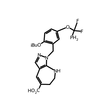 CC(C)COc1ccc(OC(F)(F)P)cc1Cn1ncc2c1NCCC(C(=O)O)=C2